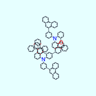 c1ccc(C2(c3ccccc3)c3ccccc3-c3c(N(c4cccc(-c5cc6ccccc6c6ccccc56)c4)c4ccc(-c5ccc6ccc(-c7ccccc7N(c7cccc(-c8cc9ccccc9c9ccccc89)c7)c7cccc8c7oc7ccccc78)cc6c5)cc4-c4ccc5ccccc5c4)cccc32)cc1